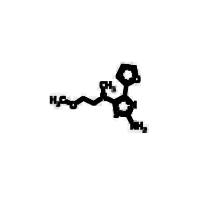 COCCN(C)c1sc(N)nc1-c1ccco1